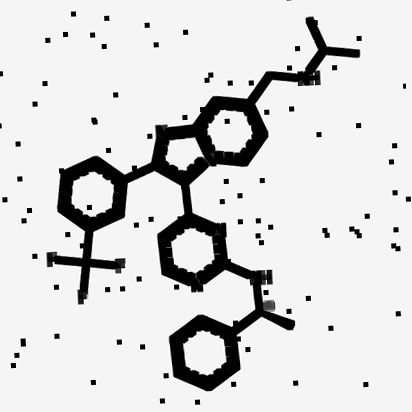 CC(C)NCc1ccn2c(-c3ccnc(N[C@@H](C)c4ccccc4)n3)c(-c3cccc(C(F)(F)F)c3)nc2c1